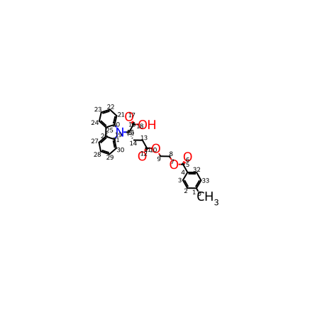 Cc1ccc(C(=O)OCCOC(=O)CC[C@@H](C(=O)O)n2c3ccccc3c3ccccc32)cc1